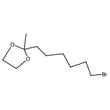 CC1(CCCCCCBr)OCCO1